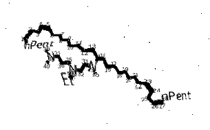 CCCCC/C=C\C/C=C\CCCCCCCCC(CCCCCCCC/C=C\C/C=C\CCCCC)N(C)CCN(CC)CCCN(C)C